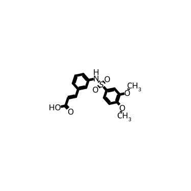 COc1ccc(S(=O)(=O)Nc2cccc(C=CC(=O)O)c2)cc1OC